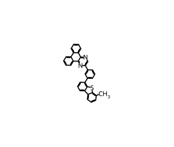 Cc1cccc2c1sc1c(-c3cccc(-c4cnc5c6ccccc6c6ccccc6c5n4)c3)cccc12